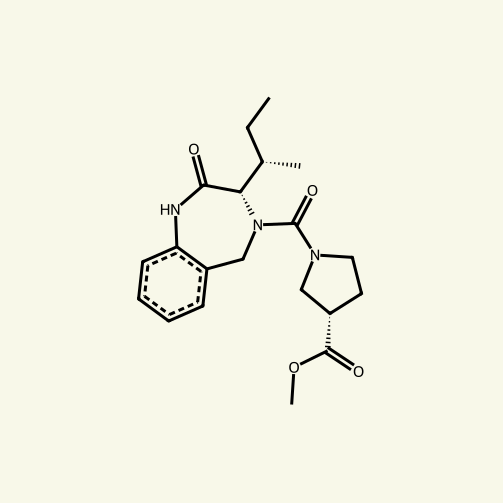 CC[C@H](C)[C@H]1C(=O)Nc2ccccc2CN1C(=O)N1CC[C@H](C(=O)OC)C1